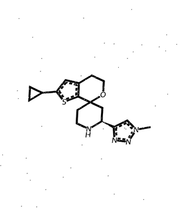 Cn1cc([C@@H]2CC3(CCN2)OCCc2cc(C4CC4)sc23)nn1